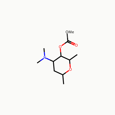 COC(=O)OC1C(C)OC(C)CC1N(C)C